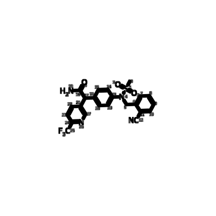 CS(=O)(=O)N(Cc1ccccc1C#N)c1ccc(C(C(N)=O)c2ccc(C(F)(F)F)nc2)cc1